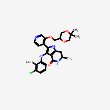 COc1c(Cl)cccc1Nc1c(-c2ccncc2OCC2COC(C)(C)CO2)[nH]c2c1C(=O)NC(C)C2